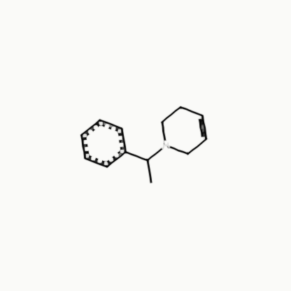 CC(c1ccccc1)N1C[C]=CCC1